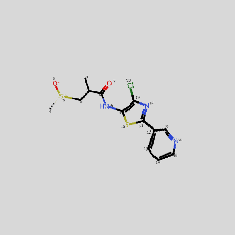 CC(C[S@+](C)[O-])C(=O)Nc1sc(-c2cccnc2)nc1Cl